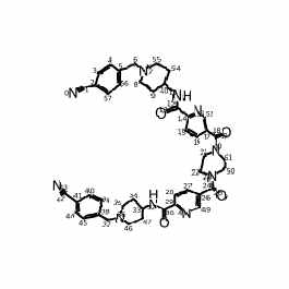 N#Cc1ccc(CN2CCC(NC(=O)c3ccc(C(=O)N4CCN(C(=O)c5ccc(C(=O)NC6CCN(Cc7ccc(C#N)cc7)CC6)nc5)CC4)cn3)CC2)cc1